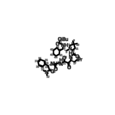 CC(C)COC(=O)N[C@H](CN1CC(C)(C)C[C@H]1C(=O)N[C@@H](CC(C)C)C(=O)C(=O)NCC(=O)N[C@H](C(=O)N(C)C)c1ccccc1)C1CCCCC1